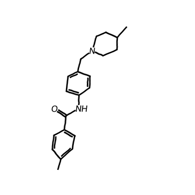 Cc1ccc(C(=O)Nc2ccc(CN3CCC(C)CC3)cc2)cc1